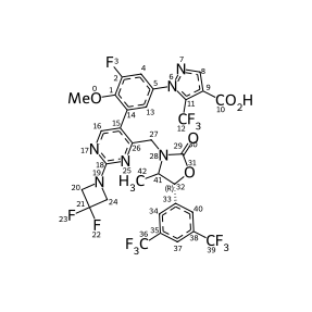 COc1c(F)cc(-n2ncc(C(=O)O)c2C(F)(F)F)cc1-c1cnc(N2CC(F)(F)C2)nc1CN1C(=O)O[C@H](c2cc(C(F)(F)F)cc(C(F)(F)F)c2)C1C